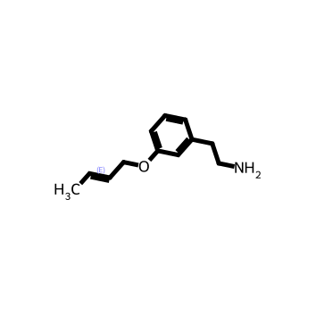 C/C=C/COc1cccc(CCN)c1